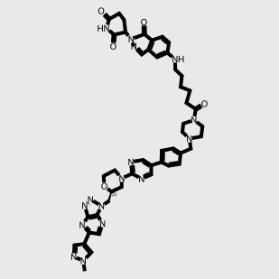 Cn1cc(-c2cnc3c(nnn3C[C@@H]3CN(c4ncc(-c5ccc(CN6CCN(C(=O)CCCCCNc7ccc8c(=O)n(C9CCC(=O)NC9=O)ncc8c7)CC6)cc5)cn4)CCO3)n2)cn1